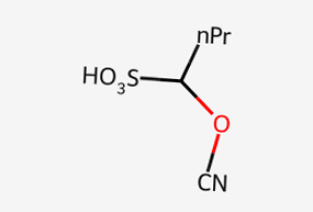 CCCC(OC#N)S(=O)(=O)O